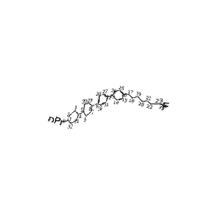 CCCC1CCC(C2CCC(c3ccc(-c4ccc(CCCCCCCF)cc4)cc3)CC2)CC1